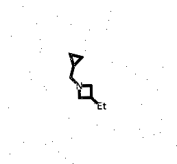 CCC1CN(CC2CC2)C1